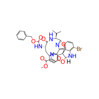 COC(=O)c1coc(-c2nc3oc2C24c5cc(ccc5O[C@@H]2Nc2c(Br)cccc24)C[C@H](NC(=O)OCc2ccccc2)C(=O)N[C@H]3C(C)C)n1